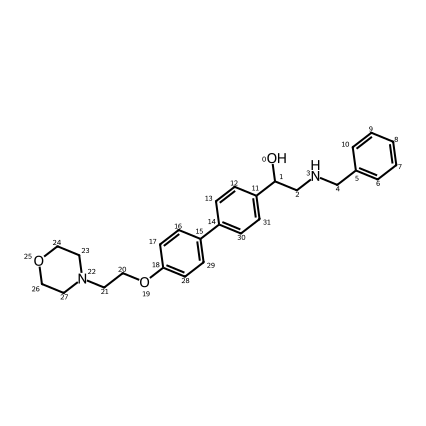 OC(CNCc1ccccc1)c1ccc(-c2ccc(OCCN3CCOCC3)cc2)cc1